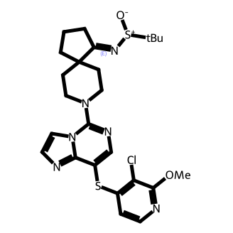 COc1nccc(Sc2cnc(N3CCC4(CCC/C4=N\[S+]([O-])C(C)(C)C)CC3)n3ccnc23)c1Cl